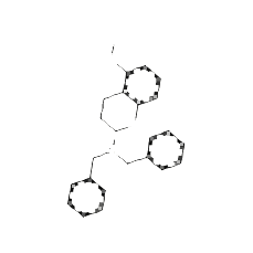 COc1cccc2c1CC[C@H](N(Cc1ccccc1)Cc1ccccc1)O2